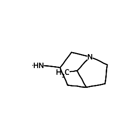 CC1C2CCN1CC([NH])C2